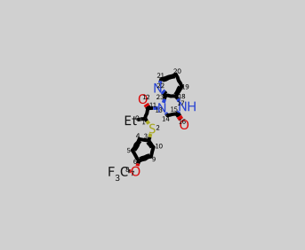 CCC(Sc1ccc(OC(F)(F)F)cc1)C(=O)N1CC(=O)Nc2cccnc21